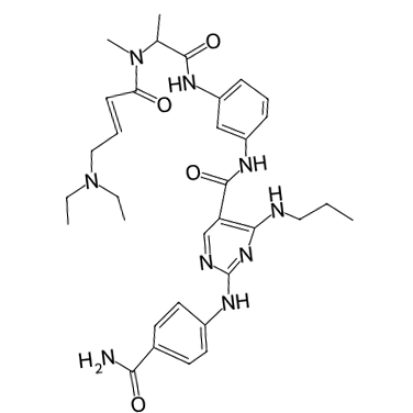 CCCNc1nc(Nc2ccc(C(N)=O)cc2)ncc1C(=O)Nc1cccc(NC(=O)C(C)N(C)C(=O)C=CCN(CC)CC)c1